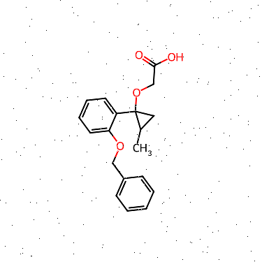 CC1CC1(OCC(=O)O)c1ccccc1OCc1ccccc1